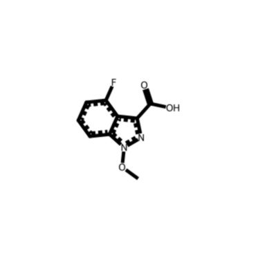 COn1nc(C(=O)O)c2c(F)cccc21